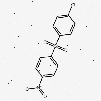 O=[N+]([O-])c1ccc(S(=O)(=O)c2ccc(Cl)cc2)cc1